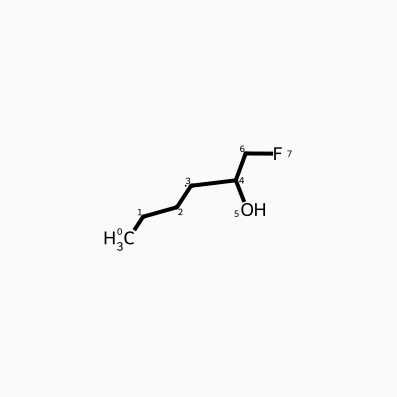 CCC[CH]C(O)CF